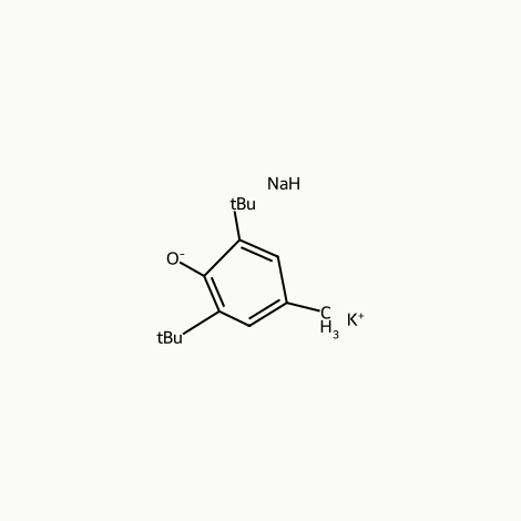 Cc1cc(C(C)(C)C)c([O-])c(C(C)(C)C)c1.[K+].[NaH]